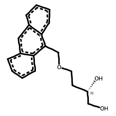 OC[C@@H](O)CCOCc1c2ccccc2cc2ccccc12